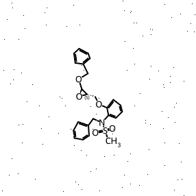 CS(=O)(=O)N(Cc1ccccc1)c1ccccc1OC[C@@H]1OC1OCc1ccccc1